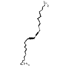 CCCCCCCCCCC#CC#CCCCCCCCCCN